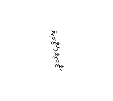 CCNC(=O)COCC(=O)NCC(C)CC(C)CNC(=O)COCC(=O)NC